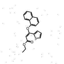 CCOC(=O)/C=C(/Oc1cccc2ccccc12)c1cccs1